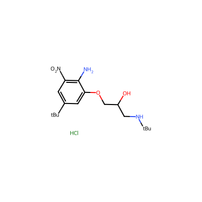 CC(C)(C)NCC(O)COc1cc(C(C)(C)C)cc([N+](=O)[O-])c1N.Cl